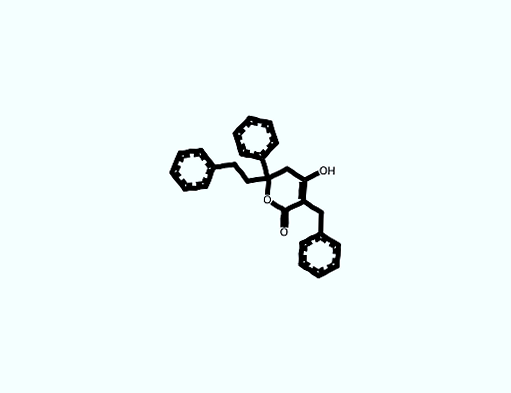 O=C1OC(CCc2ccccc2)(c2ccccc2)CC(O)=C1Cc1ccccc1